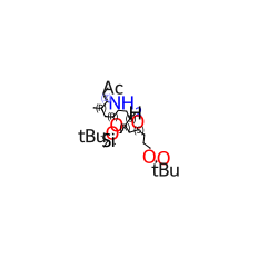 CC(=O)/C=C(\N)[C@H](C)C[C@H]1CC[C@@H]2O[C@@H](CCCOC(=O)C(C)(C)C)C[C@]2(CO[Si](C)(C)C(C)(C)C)O1